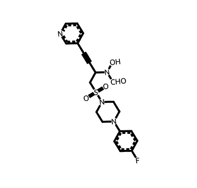 O=CN(O)C(C#Cc1cccnc1)CS(=O)(=O)N1CCN(c2ccc(F)cc2)CC1